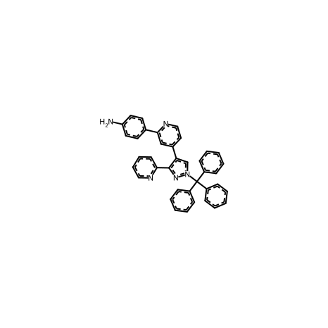 Nc1ccc(-c2cc(-c3cn(C(c4ccccc4)(c4ccccc4)c4ccccc4)nc3-c3ccccn3)ccn2)cc1